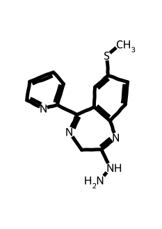 CSc1ccc2c(c1)C(c1ccccn1)=NCC(NN)=N2